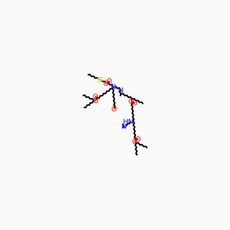 CCCCCCSSCCOC(=O)CCN(CCCN(C)CC(C)CCCCCC(CCCCCC)OC(=O)CCCCCCCCC(CCCCCCCCC(=O)OC(CCCCCC)CCCCCC)NCCCN(C)C)C(CCCCCCCCC=O)CCCCCCCCC(=O)OC(CCCCCC)CCCCCC